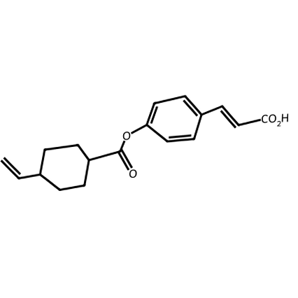 C=CC1CCC(C(=O)Oc2ccc(C=CC(=O)O)cc2)CC1